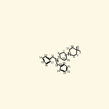 CC1(C)CCN([C@H]2CC[C@@H](N(Cc3ccccc3)Cc3ccccc3)CC2)CC1